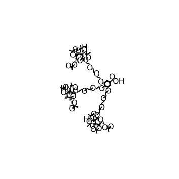 CC(=O)N[C@H]1[C@H](OCCOCCOCCOc2cc(C(=O)O)cc(OCCOCCOCCO[C@@H]3O[C@H](COC(C)=O)[C@H](OC(C)=O)[C@H](OC(C)=O)[C@H]3NC(C)=O)c2OCCOCCOCCO[C@@H]2O[C@H](COC(C)=O)[C@H](C)[C@H](OC(C)=O)[C@H]2NC(C)=O)O[C@H](COC(C)=O)[C@H](OC(C)=O)[C@@H]1OC(C)=O